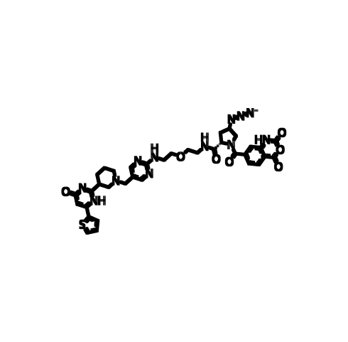 [N-]=[N+]=NC1C[C@@H](C(=O)NCCOCCNc2ncc(CN3CCCC(c4nc(=O)cc(-c5cccs5)[nH]4)C3)cn2)N(C(=O)c2ccc3c(=O)oc(=O)[nH]c3c2)C1